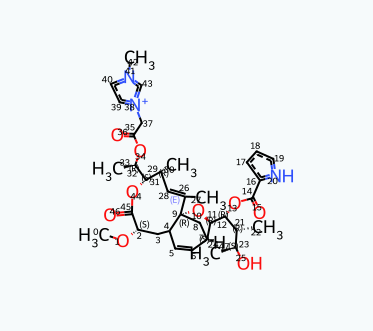 CO[C@H]1CC2C=C[C@@H]3C[C@]2(O[C@H]3[C@H](OC(=O)c2ccc[nH]2)[C@H](C)[C@H](C)O)/C(C)=C/[C@@H](C)[C@@H]([C@@H](C)OC(=O)C[n+]2ccn(C)c2)OC1=O